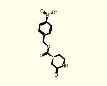 O=C1CN(C(=O)OCc2ccc([N+](=O)[O-])cc2)CCN1